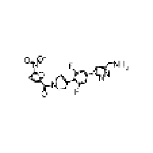 NCc1cn(-c2cc(F)c(C3=CCN(C(=O)c4ccc([N+](=O)[O-])o4)CC3)c(F)c2)nn1